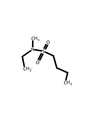 [CH2]CN(C)S(=O)(=O)CCCC